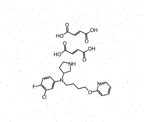 Fc1ccc(N(CCCCOc2ccccn2)C2CCNC2)cc1Cl.O=C(O)C=CC(=O)O.O=C(O)C=CC(=O)O